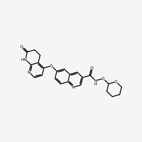 O=C1CCc2c(Oc3ccc4ncc(C(=O)NOC5CCCCO5)cc4c3)ccnc2N1